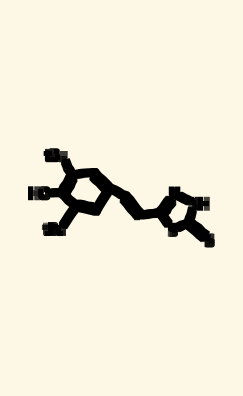 CC(C)(C)c1cc(/C=C/c2n[nH]c(=S)s2)cc(C(C)(C)C)c1O